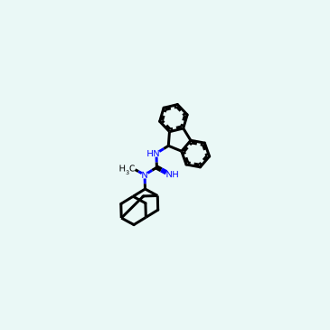 CN(C(=N)NC1c2ccccc2-c2ccccc21)C1C2CC3CC(C2)CC1C3